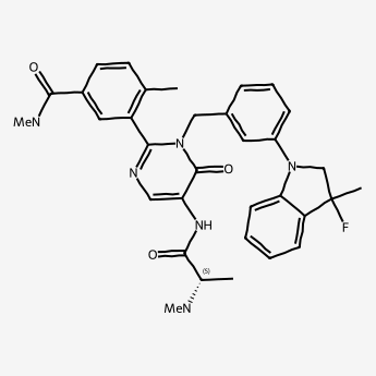 CNC(=O)c1ccc(C)c(-c2ncc(NC(=O)[C@H](C)NC)c(=O)n2Cc2cccc(N3CC(C)(F)c4ccccc43)c2)c1